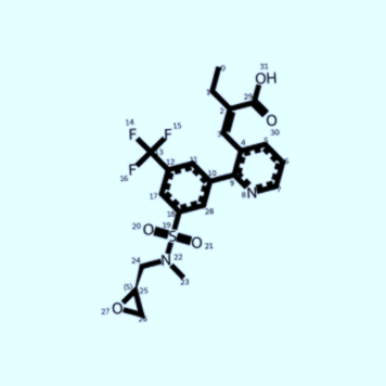 CCC(=Cc1cccnc1-c1cc(C(F)(F)F)cc(S(=O)(=O)N(C)C[C@H]2CO2)c1)C(=O)O